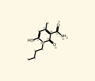 CCCCn1c(O)cc(C)c(C(N)=O)c1=O